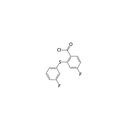 O=C(Cl)c1ccc(F)cc1Sc1cccc(F)c1